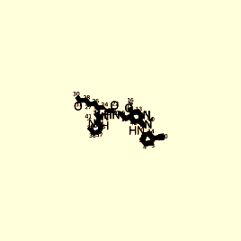 C#Cc1cccc(Nc2ncnc3cc(OC)c(CCNC(=O)[C@H](CCCCCC(C)=O)NC(=C)C4CCCCN4C)cc23)c1